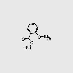 CC(C)(C)OC(=O)c1ccccc1OC(C)(C)C.[Zn]